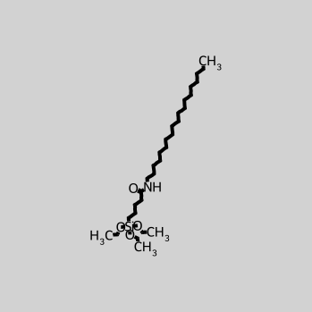 CCCCCCCCCCCCCCCCCCCNC(=O)CCCC[Si](OCC)(OCC)OCC